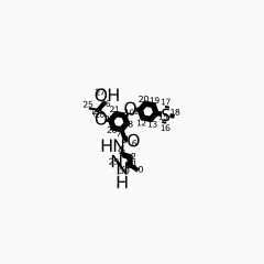 Cc1cc(NC(=O)c2cc(Oc3ccc(S(C)(C)C)cc3)cc(O[C@@H](C)CO)c2)n[nH]1